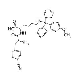 COc1ccc(C(NCCCC[C@H](NC(=O)[C@@H](N)Cc2ccc(C#N)cc2)C(=O)O)(c2ccccc2)c2ccccc2)cc1